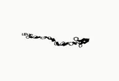 CC(C)(C)OC(=O)COCCOCCOCCOCCOCCOCCN1C(=O)c2ccccc2C1=O